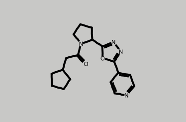 O=C(CC1CCCC1)N1CCCC1c1nnc(-c2ccncc2)o1